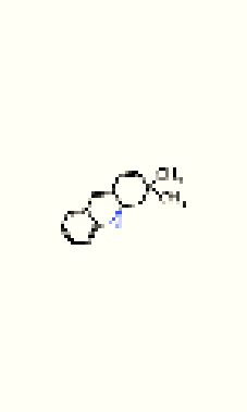 CC1(C)C=Cc2cc3ccccc3nc2C1